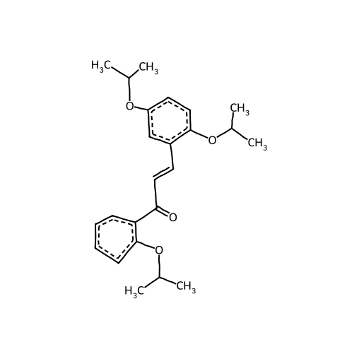 CC(C)Oc1ccc(OC(C)C)c(C=CC(=O)c2ccccc2OC(C)C)c1